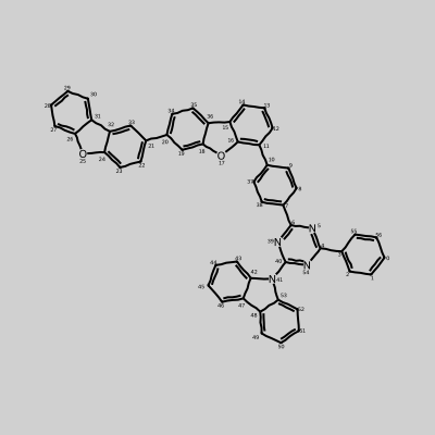 c1ccc(-c2nc(-c3ccc(-c4cccc5c4oc4cc(-c6ccc7oc8ccccc8c7c6)ccc45)cc3)nc(-n3c4ccccc4c4ccccc43)n2)cc1